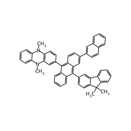 CN1c2ccccc2N(C)c2cc(-c3c4ccccc4c(-c4ccc5c(c4)-c4ccccc4C5(C)C)c4cc(-c5ccc6ccccc6c5)ccc34)ccc21